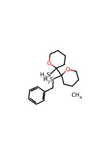 C.[SiH3]C1(C2([SiH2]Cc3ccccc3)CCCCO2)CCCCO1